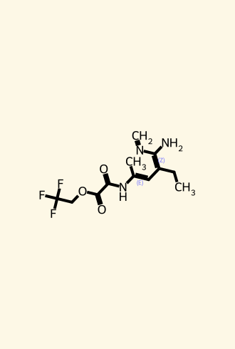 C=N/C(N)=C(\C=C(/C)NC(=O)C(=O)OCC(F)(F)F)CC